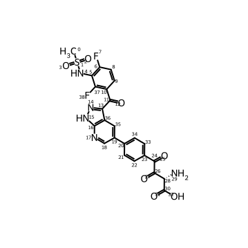 CS(=O)(=O)Nc1c(F)ccc(C(=O)c2n[nH]c3ncc(-c4ccc(C(=O)C(=O)[C@H](N)C(=O)O)cc4)cc23)c1F